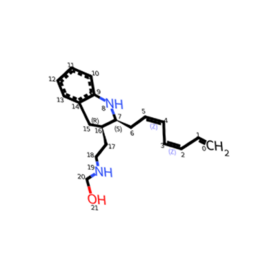 C=C/C=C\C=C/C[C@@H]1Nc2ccccc2C[C@@H]1CCNCO